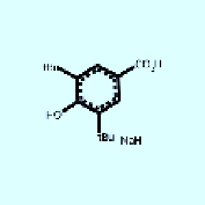 CC(C)(C)c1cc(C(=O)O)cc(C(C)(C)C)c1O.[NaH]